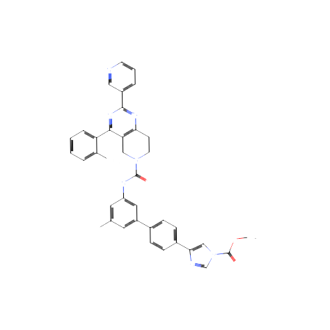 CCc1cc(NC(=O)N2CCc3nc(-c4cccnc4)nc(-c4ccccc4C)c3C2)cc(-c2ccc(-c3cn(C(=O)OC(C)(C)C)cn3)cc2)c1